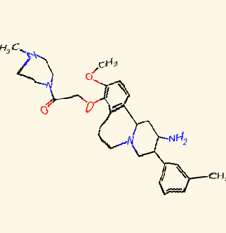 COc1ccc2c(c1OCC(=O)N1CCN(C)CC1)CCN1CC(c3cccc(C)c3)C(N)CC21